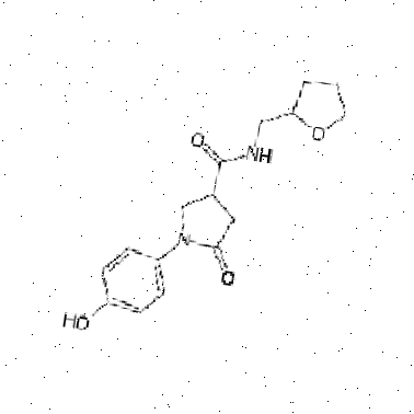 O=C(NCC1CCCO1)C1CC(=O)N(c2ccc(O)cc2)C1